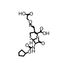 O=C(O)CO/N=C/C1=C(C(=O)O)N2C(=O)[C@@H](NC(=O)OC3CCCC3)[C@H]2SC1